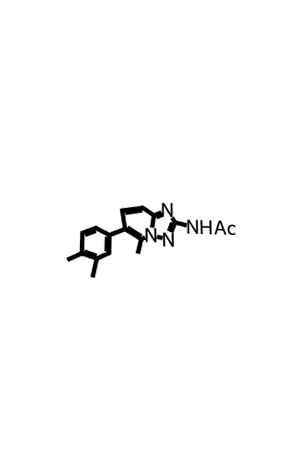 CC(=O)Nc1nc2ccc(-c3ccc(C)c(C)c3)c(C)n2n1